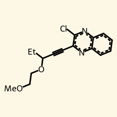 CCC(C#Cc1nc2ccccc2nc1Cl)OCCOC